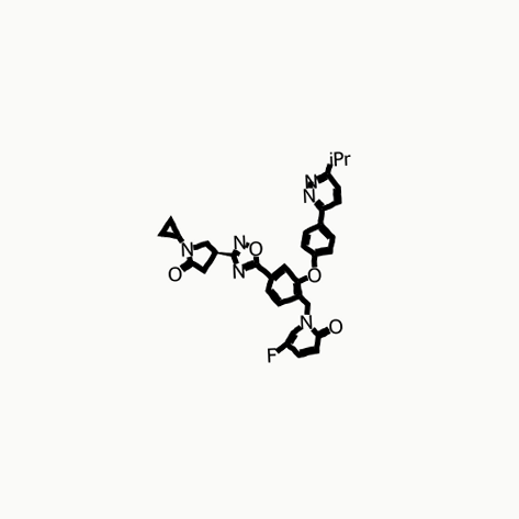 CC(C)c1ccc(-c2ccc(Oc3cc(-c4nc([C@H]5CC(=O)N(C6CC6)C5)no4)ccc3Cn3cc(F)ccc3=O)cc2)nn1